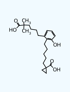 CC(C)(CCCCc1cccc(O)c1CCCCCC1(C(=O)O)CC1)C(=O)O